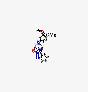 COc1ccc(CN2CCC3(CC2)N=C(c2ccccc2)NC3=O)cc1OC(C)C